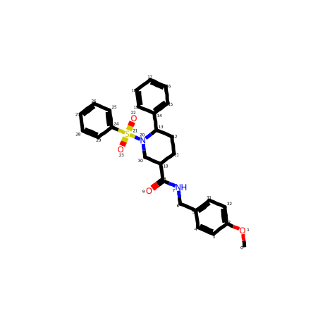 COc1ccc(CNC(=O)C2CCC(c3ccccc3)N(S(=O)(=O)c3ccccc3)C2)cc1